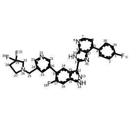 Fc1ccc(-c2ccnc3[nH]c(-c4n[nH]c5cc(F)c(-c6cncc(CN7CCC(F)(F)C7)c6)cc45)nc23)cc1